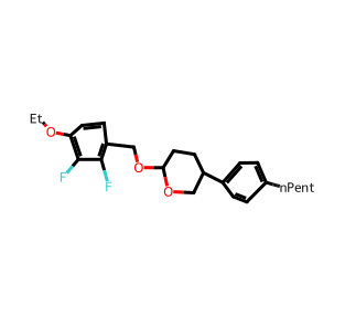 CCCCCc1ccc(C2CCC(OCc3ccc(OCC)c(F)c3F)OC2)cc1